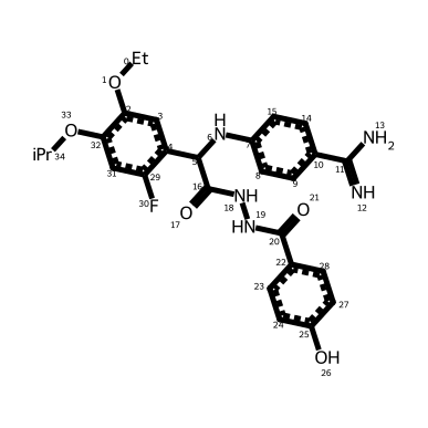 CCOc1cc(C(Nc2ccc(C(=N)N)cc2)C(=O)NNC(=O)c2ccc(O)cc2)c(F)cc1OC(C)C